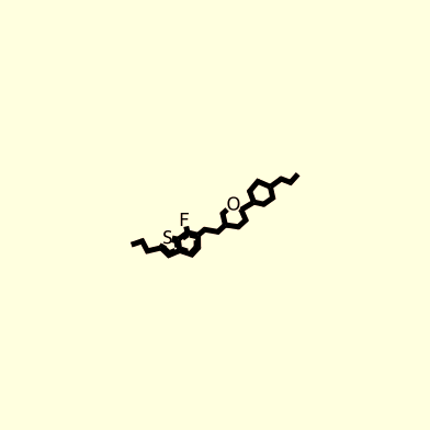 CCCc1cc2ccc(CCC3CCC(C4CCC(CCC)CC4)OC3)c(F)c2s1